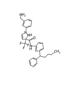 CCCCC(c1ccccc1)c1cccc(NC(=O)C2(C(F)(F)F)C=CN(c3cccc(CN)c3)N2)c1